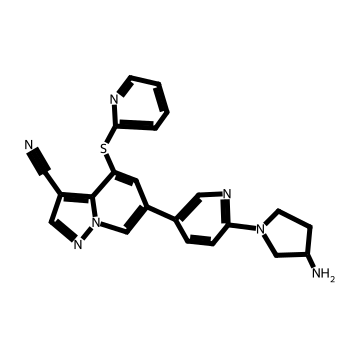 N#Cc1cnn2cc(-c3ccc(N4CCC(N)C4)nc3)cc(Sc3ccccn3)c12